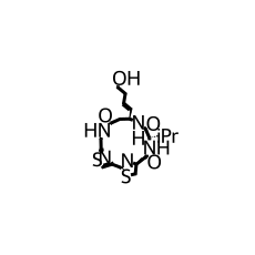 CC(C)[C@@H]1NC(=O)[C@]2(C)CSC(=N2)c2csc(n2)CNC(=O)C[C@@H](/C=C/CCO)NC1=O